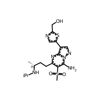 CC(C)N[C@H](C)CCc1nc2c(-c3cnc(CO)s3)cnn2c(N)c1S(C)(=O)=O